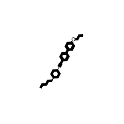 CCCCC[C@H]1CC[C@H](C#Cc2ccc(-c3ccc(OCCC)cc3)cc2)CC1